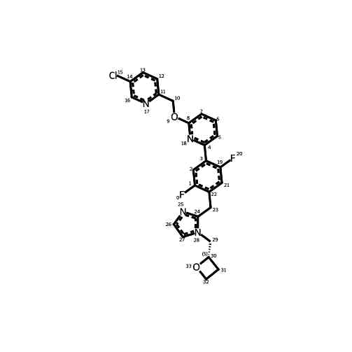 Fc1cc(-c2cccc(OCc3ccc(Cl)cn3)n2)c(F)cc1Cc1nccn1C[C@@H]1CCO1